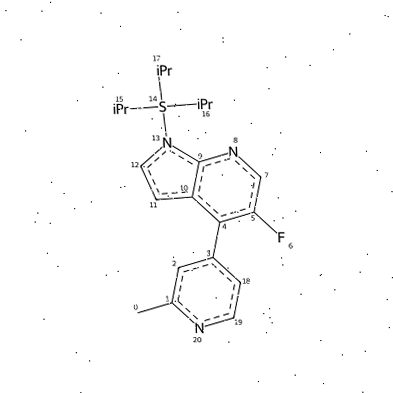 Cc1cc(-c2c(F)cnc3c2ccn3S(C(C)C)(C(C)C)C(C)C)ccn1